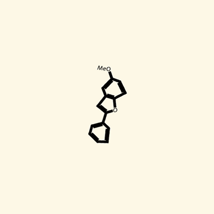 COc1ccc2oc(-c3cc[c]cc3)cc2c1